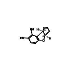 Oc1ccc2c(c1O)[C@H]1C=CC[C@H]1O2